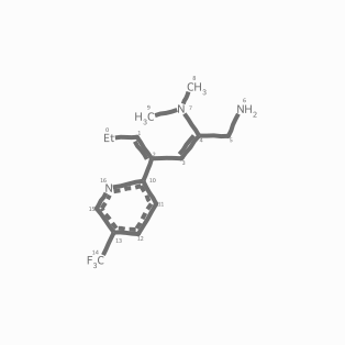 CC/C=C(/C=C(/CN)N(C)C)c1ccc(C(F)(F)F)cn1